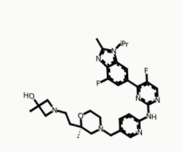 Cc1nc2c(F)cc(-c3nc(Nc4ccc(CN5CCO[C@](C)(CCN6CC(C)(O)C6)C5)cn4)ncc3F)cc2n1C(C)C